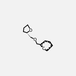 c1ccc(COC[C@@H]2CCCO2)cc1